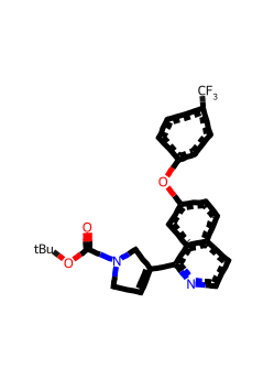 CC(C)(C)OC(=O)N1CC=C(c2nccc3ccc(Oc4ccc(C(F)(F)F)cc4)cc23)C1